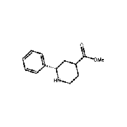 COC(=O)C1CCN[C@H](c2ccccc2)C1